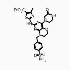 CCOC(=O)c1sc(Nc2nc(N3CCNC(=O)C3)c3c(n2)N(Cc2ccc(S(N)(=O)=O)cc2)CCO3)nc1C